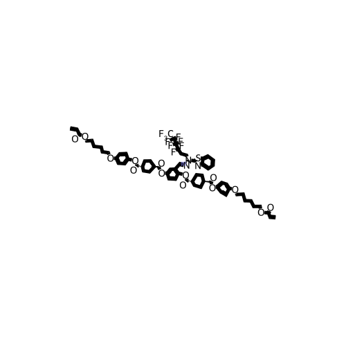 C=CC(=O)OCCCCCCOc1ccc(OC(=O)[C@H]2CC[C@H](C(=O)Oc3ccc(OC(=O)[C@H]4CC[C@H](C(=O)Oc5ccc(OCCCCCCOC(=O)C=C)cc5)CC4)c(/C=N/N(CCC(F)(F)C(F)(F)C(F)(F)C(F)(F)F)c4nc5ccccc5s4)c3)CC2)cc1